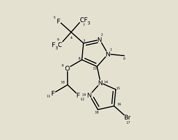 Cn1nc(C(F)(C(F)(F)F)C(F)(F)F)c(OC(F)F)c1-n1cc(Br)cn1